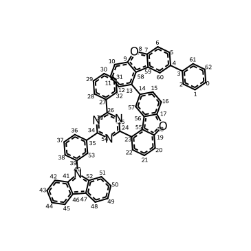 c1ccc(-c2ccc3oc4cccc(-c5ccc6oc7cccc(-c8nc(-c9ccccc9)nc(-c9cccc(-n%10c%11ccccc%11c%11ccccc%11%10)c9)n8)c7c6c5)c4c3c2)cc1